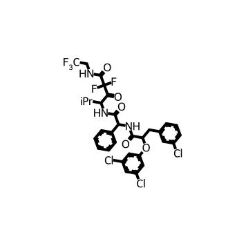 CC(C)C(NC(=O)C(NC(=O)C(Cc1cccc(Cl)c1)Oc1cc(Cl)cc(Cl)c1)c1ccccc1)C(=O)C(F)(F)C(=O)NCC(F)(F)F